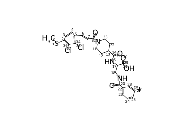 CSc1ccc(C=CC(=O)N2CCC(C(=O)NC(CNC(=O)c3cccc(F)c3)C(=O)O)CC2)c(Cl)c1Cl